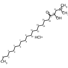 CCCCCCCCCCCCCCCCCC(=O)C(O)CN(C)C.Cl